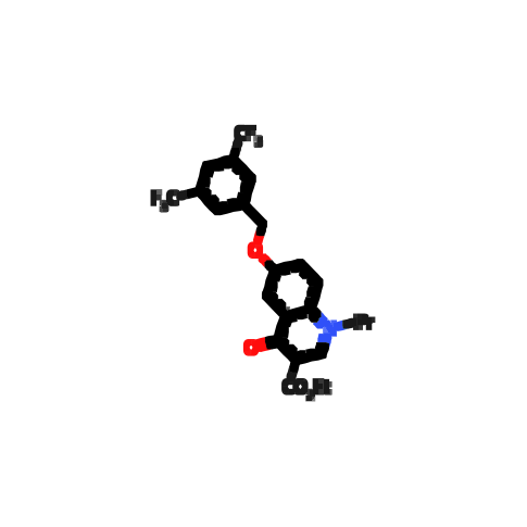 CCOC(=O)c1cn(C(C)C)c2ccc(OCc3cc(C(F)(F)F)cc(C(F)(F)F)c3)cc2c1=O